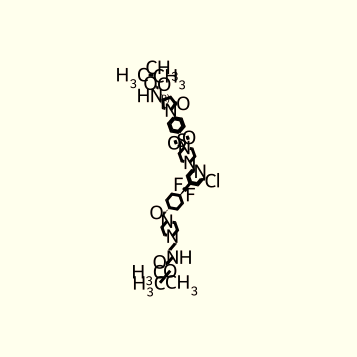 CC(C)(C)OC(=O)NCCN1CCN(C(=O)[C@H]2CC[C@H](C(F)(F)c3cc(Cl)nc(N4CCN(S(=O)(=O)c5ccc(N6C[C@H](NC(=O)OC(C)(C)C)CC6=O)cc5)CC4)c3)CC2)CC1